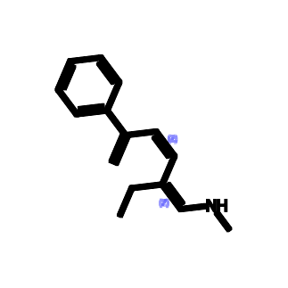 C=C(/C=C\C(=C/NC)CC)c1ccccc1